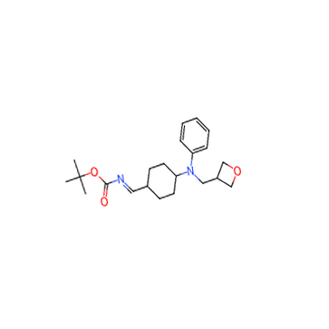 CC(C)(C)OC(=O)/N=C/C1CCC(N(CC2COC2)c2ccccc2)CC1